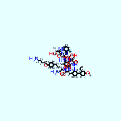 CCc1cc(OC)ccc1-c1ccc(C[C@H](NC(=O)C(CC(=O)O)NC(=O)C(CO)NC(=O)[C@@H](NC(=O)[C@](C)(Cc2ccccc2F)NC(=O)[C@@H](N)[C@@H](C)O)[C@@H](C)O)C(=O)N[C@@H](CCCc2ccc(OCCCCN)cc2)C(N)=O)cc1